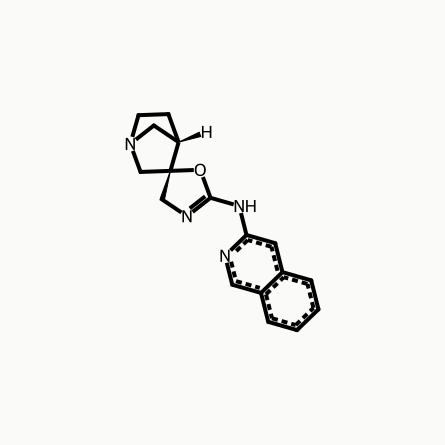 c1ccc2cc(NC3=NC[C@]4(CN5CC[C@H]4C5)O3)ncc2c1